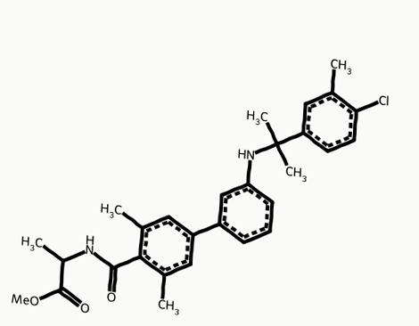 COC(=O)C(C)NC(=O)c1c(C)cc(-c2cccc(NC(C)(C)c3ccc(Cl)c(C)c3)c2)cc1C